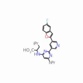 CCCc1cc(NC(CC(C)C)C(=O)O)nc(-c2cncc(-c3cc4cc(F)ccc4o3)c2)n1